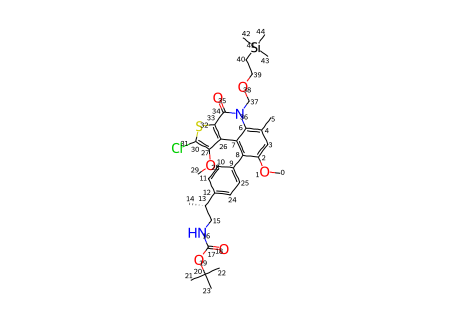 COc1cc(C)c2c(c1-c1ccc([C@@H](C)CNC(=O)OC(C)(C)C)cc1)c1c(OC)c(Cl)sc1c(=O)n2COCC[Si](C)(C)C